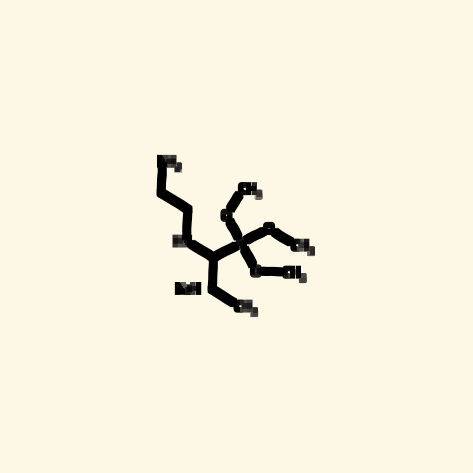 CCC(NCCN)[Si](OC)(OC)OC.[NaH]